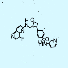 O=C1CC(c2ccc(S(=O)(=O)Nc3cccnc3)cc2)C1CNc1ccc2cncc(F)c2n1